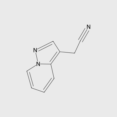 N#CCc1cnn2ccccc12